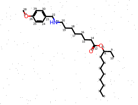 CCCCCCCCC(CC)OC(=O)CCCCCCCNCc1ccc(OC)cc1